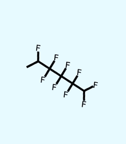 CC(F)C(F)(F)C(F)(F)C(F)(F)C(F)F